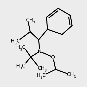 CC(C)ON(C(C(C)C)C1C=CC=CC1)C(C)(C)C